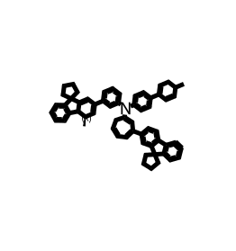 CC1C=CC(c2ccc(N(C3=CC(c4ccc5c(c4)C4(CCCC4)c4ccc#cc4-5)=CC=CC3)c3cccc(C4=C[C@@H](C)C5C(=C4)C4(CCCC4)c4ccccc45)c3)cc2)=CC1